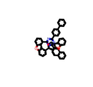 C1=CC(c2nc(-c3ccc(-c4ccccc4)cc3)nc(-c3cccc4oc5cccc(-c6ccc7c(c6)oc6ccccc67)c5c34)n2)Cc2ccccc21